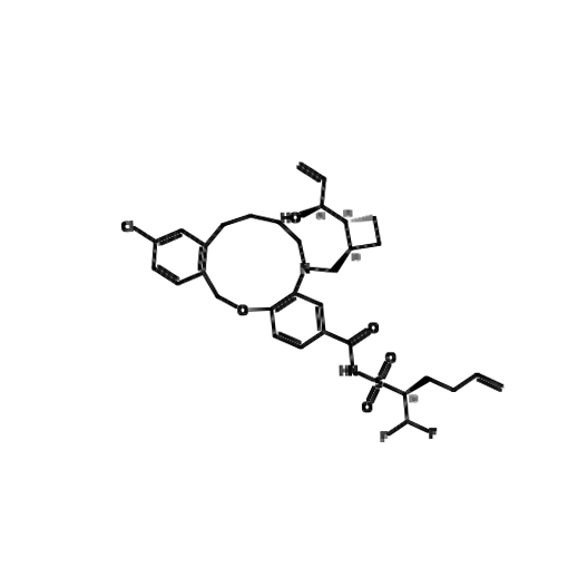 C=CCC[C@@H](C(F)F)S(=O)(=O)NC(=O)c1ccc2c(c1)N(C[C@@H]1CC[C@H]1[C@@H](O)C=C)CCCCc1cc(Cl)ccc1CO2